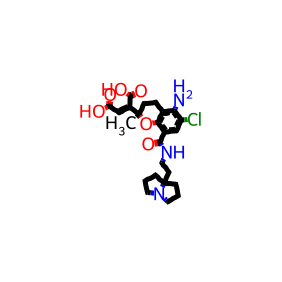 CC1(/C(=C/C(=O)O)C(=O)O)CCc2c(N)c(Cl)cc(C(=O)NCCC34CCCN3CCC4)c2O1